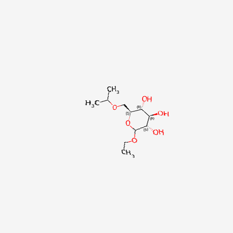 CCOC1O[C@@H](COC(C)C)[C@H](O)[C@@H](O)[C@@H]1O